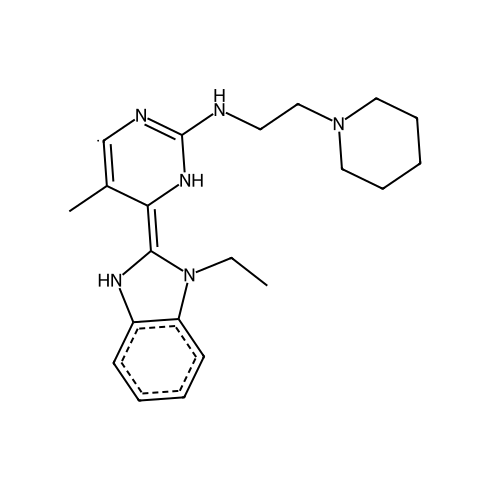 CCN1C(=C2NC(NCCN3CCCCC3)=N[C]=C2C)Nc2ccccc21